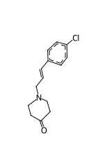 O=C1CCN(CC=Cc2ccc(Cl)cc2)CC1